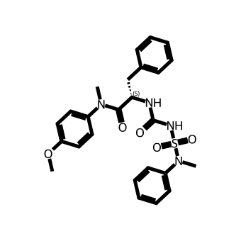 COc1ccc(N(C)C(=O)[C@H](Cc2ccccc2)NC(=O)NS(=O)(=O)N(C)c2ccccc2)cc1